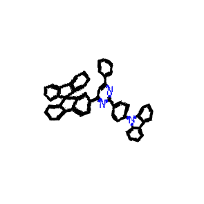 c1ccc(-c2cc(-c3ccc4c(c3)C3(c5ccccc5-c5ccccc53)c3ccccc3-4)nc(-c3ccc(-n4c5ccccc5c5ccccc54)cc3)n2)cc1